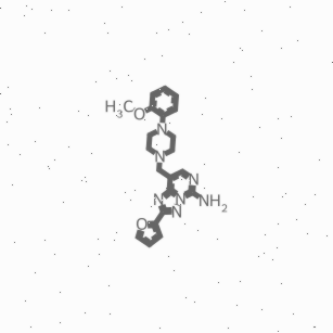 COc1ccccc1N1CCN(Cc2cnc(N)n3nc(-c4ccco4)nc23)CC1